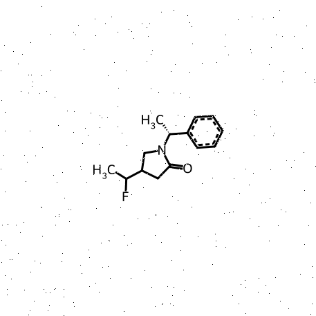 CC(F)C1CC(=O)N([C@H](C)c2ccccc2)C1